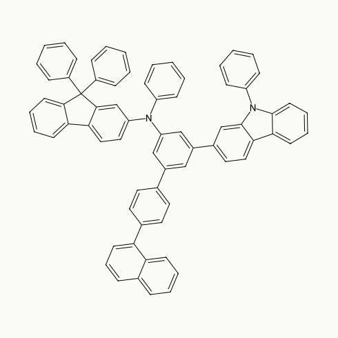 c1ccc(N(c2cc(-c3ccc(-c4cccc5ccccc45)cc3)cc(-c3ccc4c5ccccc5n(-c5ccccc5)c4c3)c2)c2ccc3c(c2)C(c2ccccc2)(c2ccccc2)c2ccccc2-3)cc1